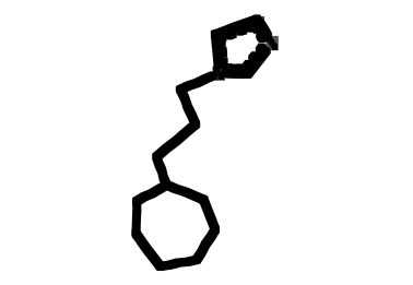 [c]1cn(CCCC2CCCCCC2)cn1